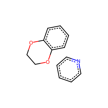 c1ccc2c(c1)OCCO2.c1ccncc1